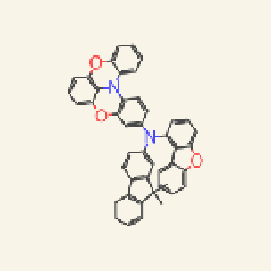 CC1(C)C2=C(CCC=C2)c2ccc(N(c3ccc4c(c3)Oc3cccc5c3N4c3ccccc3O5)c3cccc4oc5ccccc5c34)cc21